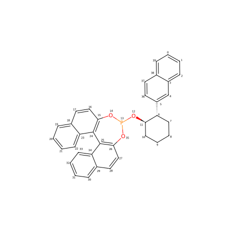 c1ccc2cc([C@@H]3CCCC[C@H]3Op3oc4ccc5ccccc5c4c4c(ccc5ccccc54)o3)ccc2c1